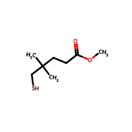 COC(=O)CCC(C)(C)CS